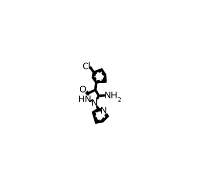 NC1C(c2cccc(Cl)c2)C(=O)NN1c1ccccn1